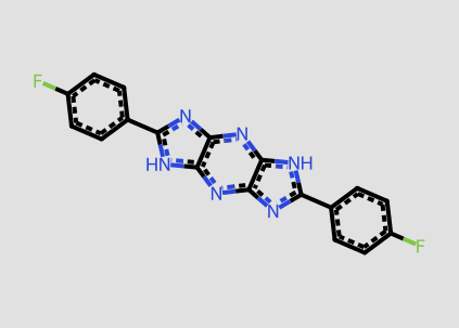 Fc1ccc(-c2nc3nc4[nH]c(-c5ccc(F)cc5)nc4nc3[nH]2)cc1